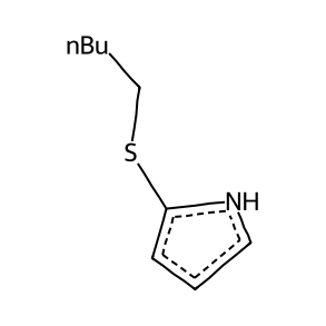 CCCCCSc1ccc[nH]1